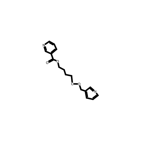 O=C(OCCCCOOCc1cccnc1)c1cccnc1